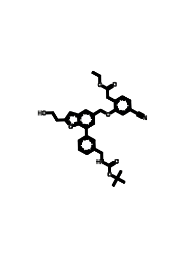 CCOC(=O)Cc1ccc(C#N)cc1OCc1cc(-c2cccc(CNC(=O)OC(C)(C)C)c2)c2oc(CCO)cc2c1